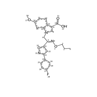 CCCON=C(Cn1cc(C(=O)O)c2ccc(OC)cc21)c1cc(-c2ccc(F)cc2)no1